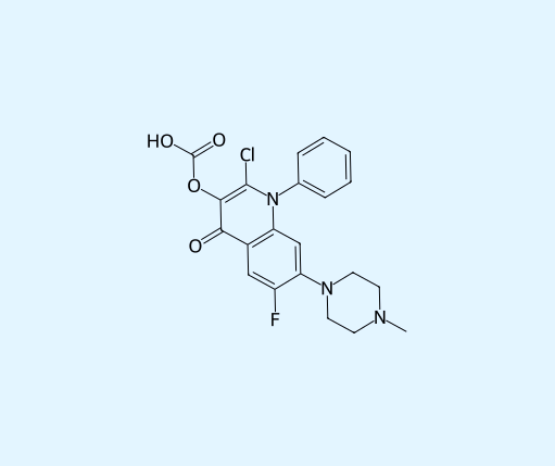 CN1CCN(c2cc3c(cc2F)c(=O)c(OC(=O)O)c(Cl)n3-c2ccccc2)CC1